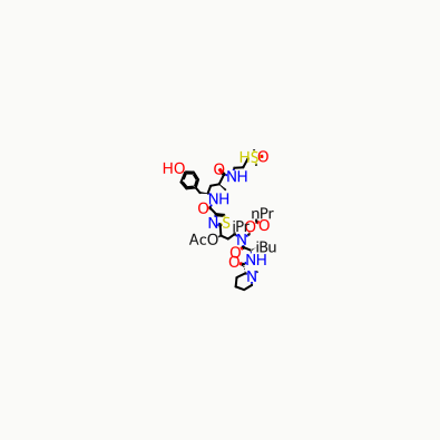 CCCC(=O)OCN(C(=O)[C@@H](NC(=O)[C@H]1CCCCN1C)[C@@H](C)CC)C(C[C@@H](OC(C)=O)c1nc(C(=O)N[C@@H](Cc2ccc(O)cc2)C[C@H](C)C(=O)NCCC[SH](C)(C)=O)cs1)C(C)C